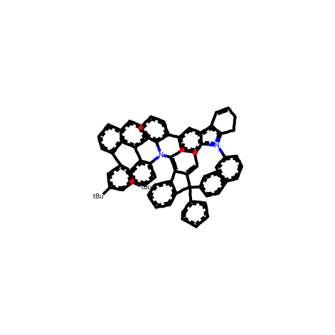 CC1CC=C2C(=C1N(c1ccccc1-c1ccc3c(c1)c1c(n3-c3ccccc3)CCC=C1)c1ccccc1-c1cccc3cccc(-c4cc(C(C)(C)C)cc(C(C)(C)C)c4)c13)c1ccccc1C2(c1ccccc1)c1ccccc1